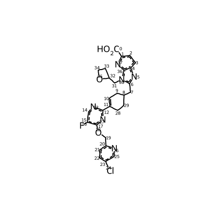 O=C(O)c1ccc2nc(CC3CC=C(c4ncc(F)c(OCc5ccc(Cl)cn5)n4)CC3)n(CC3CCO3)c2n1